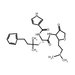 CN(C)CCC1OCC(=O)C1NC(=O)[C@H](CC(C)(C)CCc1ccccc1)NC(=O)c1cc[nH]c1